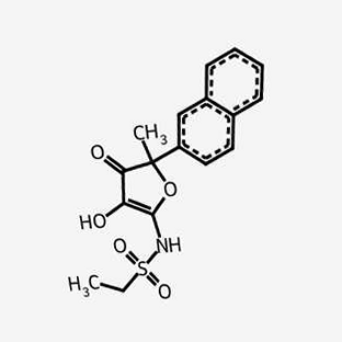 CCS(=O)(=O)NC1=C(O)C(=O)C(C)(c2ccc3ccccc3c2)O1